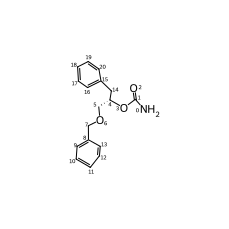 NC(=O)O[C@H](COCc1ccccc1)Cc1ccccc1